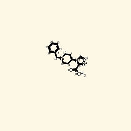 CC(=O)c1nncn1C1CCN(Cc2ccccc2)CC1